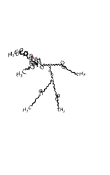 CCCCCCCOC(=O)CCCCCCCCN(CCCCCCCCC(=O)OCCCCCCC)CCOCCOCCN(CCCCCCCCC(=O)OCCCCCCC)CCCCCC(=O)Nc1nc(OCCCC)nc2c1[nH]c(=O)n2Cc1cccc(CC(=O)OC)c1